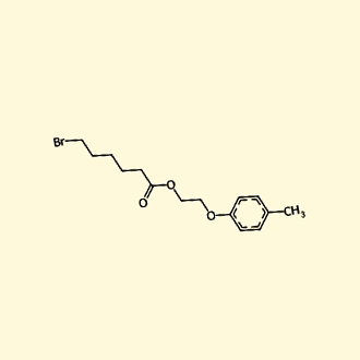 Cc1ccc(OCCOC(=O)CCCCCBr)cc1